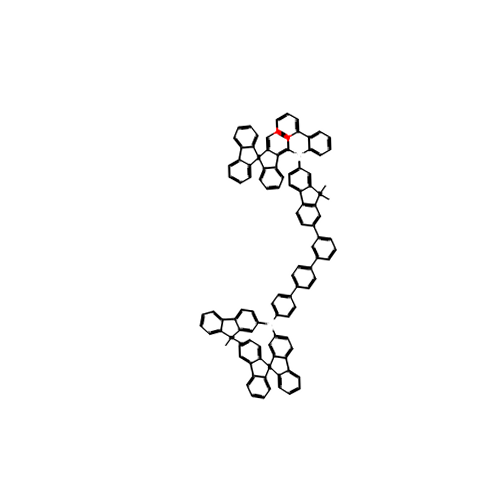 CC1(C)c2ccccc2-c2ccc(N(c3ccc(-c4ccc(-c5cccc(-c6ccc7c(c6)C(C)(C)c6cc(N(c8ccccc8-c8ccccc8)c8cccc9c8-c8ccccc8C98c9ccccc9-c9ccccc98)ccc6-7)c5)cc4)cc3)c3ccc4c(c3)C3(c5ccccc5-c5ccccc53)c3ccccc3-4)cc21